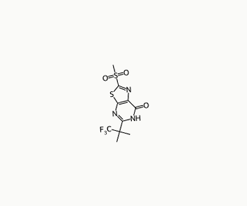 CC(C)(c1nc2sc(S(C)(=O)=O)nc2c(=O)[nH]1)C(F)(F)F